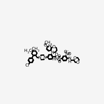 COc1ccc2c(n1)OCCCN2c1cc(N2CCN(CC3=C(c4ccc(Cl)cc4)CC(C)(C)CC3)CC2)ccc1C(=O)NS(=O)(=O)c1ccc(NCC2COCCO2)c([N+](=O)[O-])c1